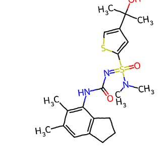 Cc1cc2c(c(NC(=O)N=S(=O)(c3cc(C(C)(C)O)cs3)N(C)C)c1C)CCC2